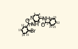 O=C(Nc1ccnc(NC(=O)c2ccccc2Br)c1)c1ccccc1